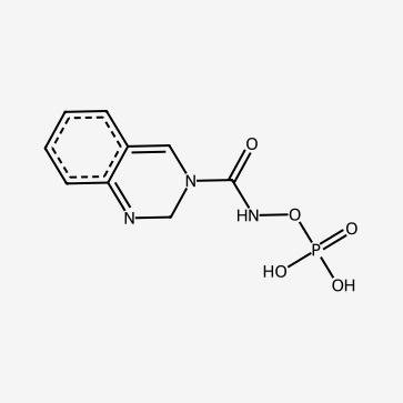 O=C(NOP(=O)(O)O)N1C=c2ccccc2=NC1